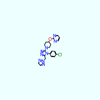 Clc1ccc(-n2c(Cn3nccn3)nnc2N2CCC(Oc3ncccn3)CC2)cc1